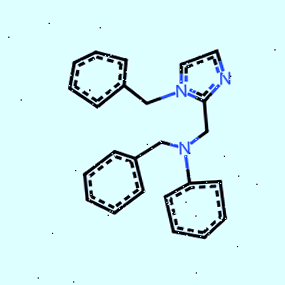 c1ccc(CN(Cc2nccn2Cc2ccccc2)c2ccccc2)cc1